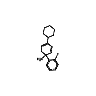 NC1(c2ccccc2F)C=CC(C2CCCCC2)=CC1